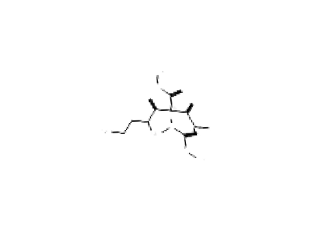 CCC(N)C(=O)[C@@](C(=O)OC(C)(C)C)(C(=O)C(N)CCC#N)N(C)C(=O)OC(C)(C)C